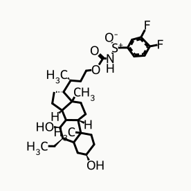 CC[C@@H]1C2C[C@H](O)CCC2(C)[C@H]2CCC3(C)[C@@H]([C@H](C)CCOC(=O)N[S+]([O-])c4ccc(F)c(F)c4)CC[C@H]3C2[C@@H]1O